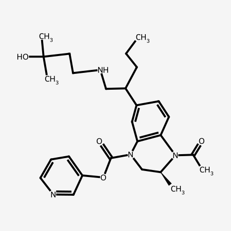 CCCC(CNCCC(C)(C)O)c1ccc2c(c1)N(C(=O)Oc1cccnc1)C[C@H](C)N2C(C)=O